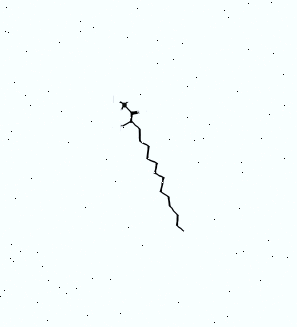 CCCCCCCCCCCCCC(Cl)C(=O)C(F)(F)F